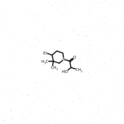 CCC1CCN(C(=O)C(C)O)CC1(C)C